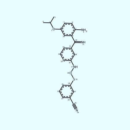 CC(C)Oc1ccc(N)c(C(=N)c2ccnc(NOSc3cccc(C#N)c3)c2)c1